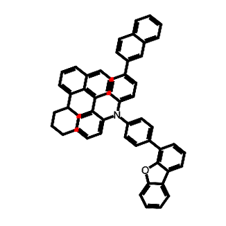 c1ccc(N(c2ccc(-c3ccc4ccccc4c3)cc2)c2ccc(-c3cccc4c3oc3ccccc34)cc2)c(-c2cccc3cccc(C4CCCCC4)c23)c1